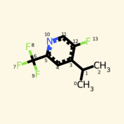 CC(C)c1cc(C(F)(F)F)ncc1F